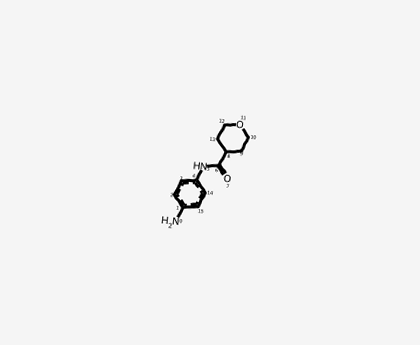 Nc1ccc(NC(=O)C2CCOCC2)cc1